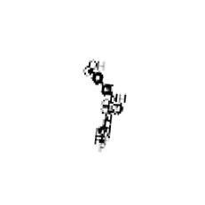 O=C(O)c1ccc(-c2ccc(NC(=O)[C@H]3CCCN3C(=O)NCc3cnc(C(F)(F)F)nc3)cc2)cc1